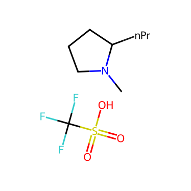 CCCC1CCCN1C.O=S(=O)(O)C(F)(F)F